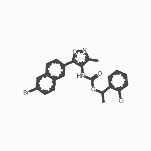 Cc1noc(-c2ccc3cc(Br)ccc3c2)c1NC(=O)OC(C)c1ccccc1Cl